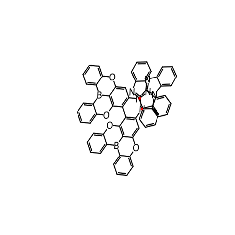 c1ccc2c(c1)Oc1cc(-n3c4ccccc4n4c5ccccc5nc34)c(-c3c(-n4c5ccccc5n5c6ccccc6nc45)cc4c5c3Oc3ccccc3B5c3ccccc3O4)c3c1B2c1ccccc1O3